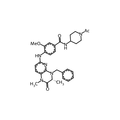 COc1cc(C(=O)NC2CCN(C(C)=O)CC2)ccc1Nc1ccc2c(n1)N(Cc1ccccc1)[C@H](C)C(=O)N2C